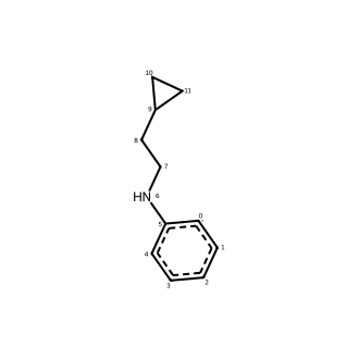 [c]1ccccc1NCCC1CC1